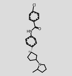 CC1CCCN1C1CC[C@H](c2ccc(NC(=O)c3ccc(Cl)cc3)cc2)C1